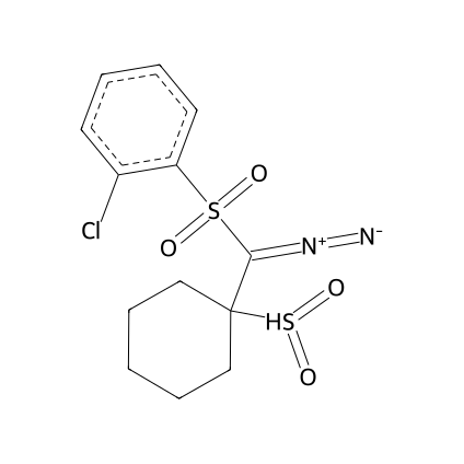 [N-]=[N+]=C(C1([SH](=O)=O)CCCCC1)S(=O)(=O)c1ccccc1Cl